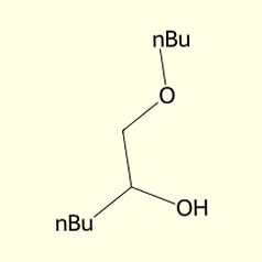 CCCCOCC(O)CCCC